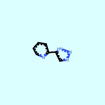 [c]1nn[nH]c1-c1ccccn1